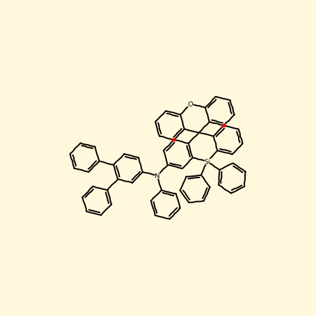 c1ccc(-c2ccc(N(c3ccccc3)c3ccc4c(c3)[Si](c3ccccc3)(c3ccccc3)c3ccccc3C43c4ccccc4Oc4ccccc43)cc2-c2ccccc2)cc1